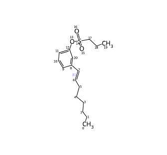 CCCCCC/C=C/c1cccc(OS(=O)(=O)CCC)c1